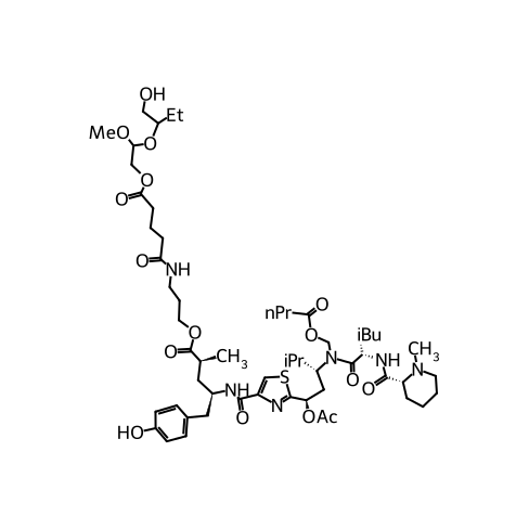 CCCC(=O)OCN(C(=O)[C@@H](NC(=O)[C@H]1CCCCN1C)[C@@H](C)CC)[C@H](C[C@@H](OC(C)=O)c1nc(C(=O)N[C@@H](Cc2ccc(O)cc2)C[C@H](C)C(=O)OCCCNC(=O)CCCC(=O)OCC(OC)OC(CC)CO)cs1)C(C)C